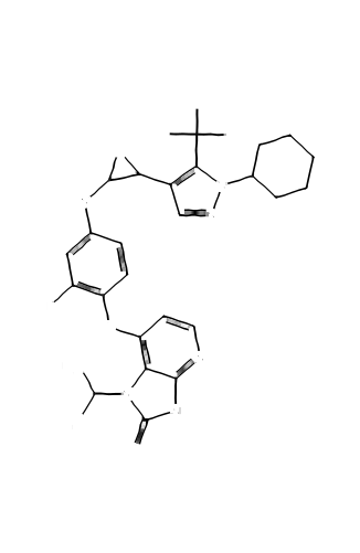 CC(C)n1c(=O)[nH]c2nccc(Oc3ccc(NC4OC4c4cnn(C5CCCCC5)c4C(F)(F)F)cc3F)c21